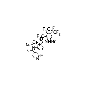 CC(C1CC1)N(C(=O)c1ccnc(F)c1)c1cccc(C(=O)Nc2c(Br)cc(C(F)(C(F)(F)F)C(F)(F)F)cc2C(F)(F)F)c1F